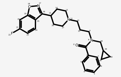 O=C(c1ccccc1)N(CCCN1CCC(c2noc3cc(F)ccc23)CC1)CC1CC1